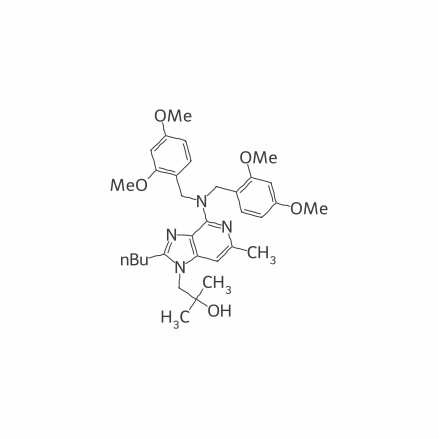 CCCCc1nc2c(N(Cc3ccc(OC)cc3OC)Cc3ccc(OC)cc3OC)nc(C)cc2n1CC(C)(C)O